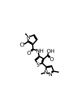 Cc1cc(-c2scc(NC(=O)c3ccn(C)c3Cl)c2C(=O)O)n(C)n1